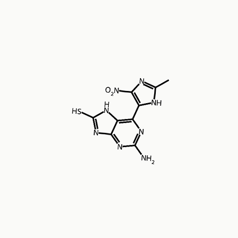 Cc1nc([N+](=O)[O-])c(-c2nc(N)nc3nc(S)[nH]c23)[nH]1